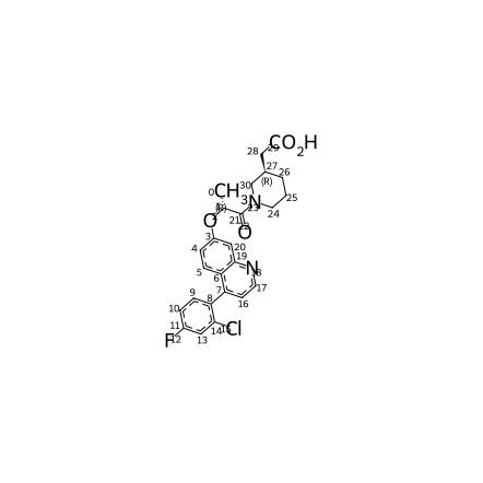 C[C@@H](Oc1ccc2c(-c3ccc(F)cc3Cl)ccnc2c1)C(=O)N1CCC[C@H](CC(=O)O)C1